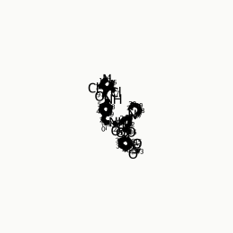 C[C@H](Cc1ccc(NC(=O)c2c(Cl)cncc2Cl)cc1)NC(=O)[C@@H]1C[C@@H](N2CCCCC2)CN1S(=O)(=O)c1cccc(S(C)(=O)=O)c1